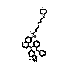 O=C(C=CCSCCCN1CCOCC1)Nc1ccc2ncnc(N(c3ccc4[nH]ncc4c3)c3ccccc3Cc3ccccc3)c2c1